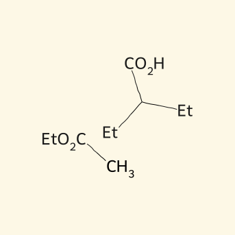 CCC(CC)C(=O)O.CCOC(C)=O